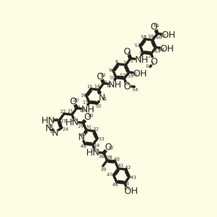 COc1c(NC(=O)c2ccc(NC(=O)c3ccc(NC(=O)C(Cc4cnn[nH]4)NC(=O)c4ccc(NC(=O)/C(C)=C/c5ccc(O)cc5)cn4)cn3)c(OC)c2O)ccc(C(=O)O)c1O